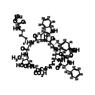 C[C@@H](O)[C@@H]1NC(=O)[C@H](CCCCNC(=O)OC(C)(C)C)NC(=O)[C@@H](Cc2c[nH]c3ccccc23)NC(=O)[C@H](Cc2ccc(O)cc2)NC(=O)[C@@H](NC(=O)[C@@H](Cc2ccccc2)NC(=O)OC(C)(C)C)CSSC[C@@H](C(=O)O)NC1=O